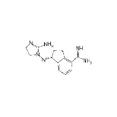 N=C(N)c1cccc2c1CCC2=NN1CCN=C1N